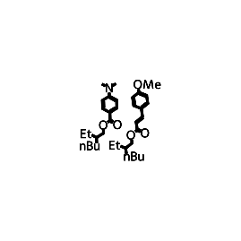 CCCCC(CC)COC(=O)/C=C/c1ccc(OC)cc1.CCCCC(CC)COC(=O)c1ccc(N(C)C)cc1